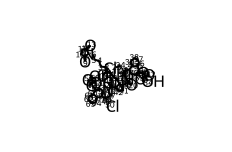 O=C(CCCCCN1C(=O)C=CC1=O)NCCn1c(C(=O)N2C[C@@H](CCl)c3c2cc(OP(=O)(O)O)c2ccccc32)ccc1C(=O)N1C[C@@H](CCl)c2c1cc(OP(=O)(O)O)c1ccccc21